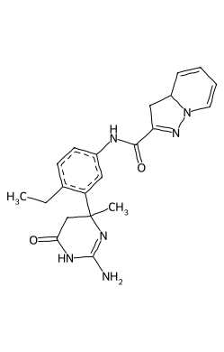 CCc1ccc(NC(=O)C2=NN3C=CC=CC3C2)cc1C1(C)CC(=O)NC(N)=N1